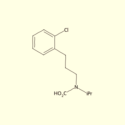 CC(C)N(CCCc1ccccc1Cl)C(=O)O